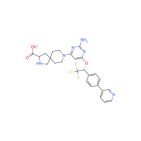 Nc1nc(O[C@H](c2ccc(-c3cccnc3)cc2)C(F)(F)F)cc(N2CCC3(CC2)CNC(C(=O)O)C3)n1